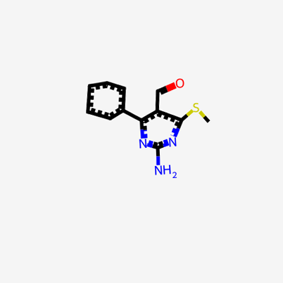 CSc1nc(N)nc(-c2ccccc2)c1C=O